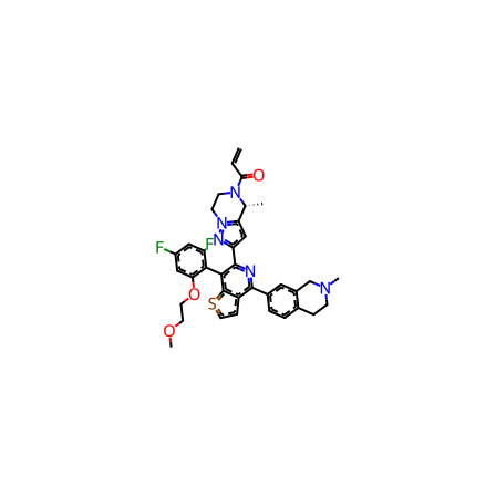 C=CC(=O)N1CCn2nc(-c3nc(-c4ccc5c(c4)CN(C)CC5)c4ccsc4c3-c3c(F)cc(F)cc3OCCOC)cc2[C@H]1C